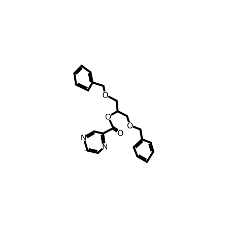 O=C(OC(COCc1ccccc1)COCc1ccccc1)c1cn[c]cn1